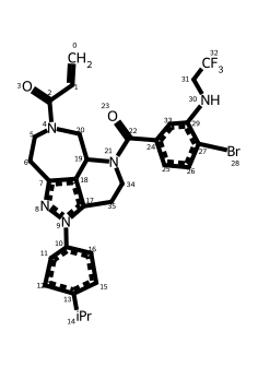 C=CC(=O)N1CCc2nn(-c3ccc(C(C)C)cc3)c3c2C(C1)N(C(=O)c1ccc(Br)c(NCC(F)(F)F)c1)CC3